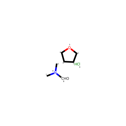 C1CCOC1.CN(C)C=O.Cl